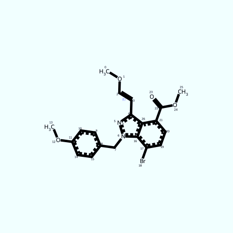 CO/C=C/c1nn(Cc2ccc(OC)cc2)c2c(Br)ccc(C(=O)OC)c12